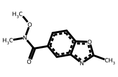 CON(C)C(=O)c1ccc2oc(C)nc2c1